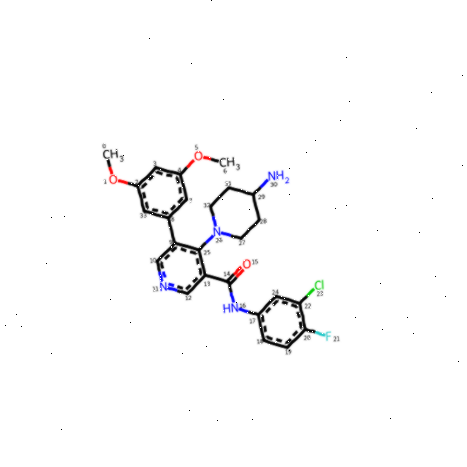 COc1cc(OC)cc(-c2cncc(C(=O)Nc3ccc(F)c(Cl)c3)c2N2CCC(N)CC2)c1